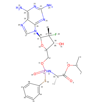 CC(C)OC(=O)[C@H](C)NP(=O)(OCC1O[C@@H](n2cnc3c(N)nc(N)nc32)[C@](C)(F)[C@@H]1O)Sc1ccccc1